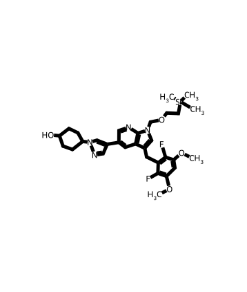 COc1cc(OC)c(F)c(Cc2cn(COCC[Si](C)(C)C)c3ncc(-c4cnn(C5CCC(O)CC5)c4)cc23)c1F